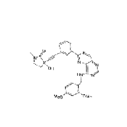 COc1ccc(CNc2ncnc3cnc(-c4cccc(C#CC5(O)CCN(C)C5=O)c4)nc23)c(OC)c1